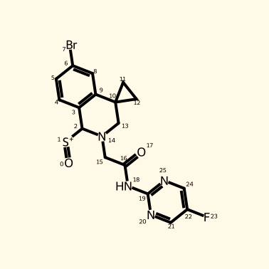 O=[S+]C1c2ccc(Br)cc2C2(CC2)CN1CC(=O)Nc1ncc(F)cn1